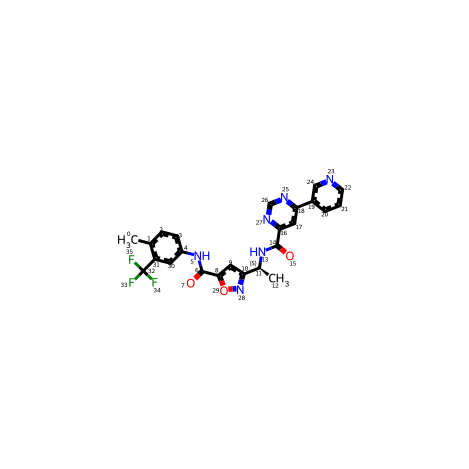 Cc1ccc(NC(=O)c2cc([C@H](C)NC(=O)c3cc(-c4cccnc4)ncn3)no2)cc1C(F)(F)F